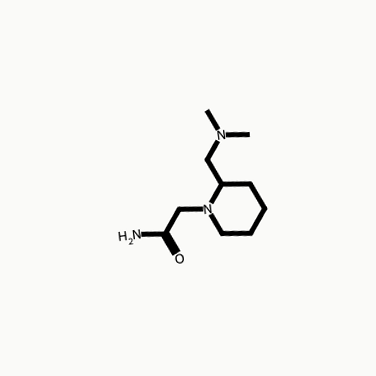 CN(C)CC1CCCCN1CC(N)=O